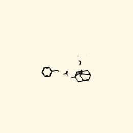 CSCOC12CC3CC(CC(NC(=O)OCc4ccccc4)(C3)C1)C2